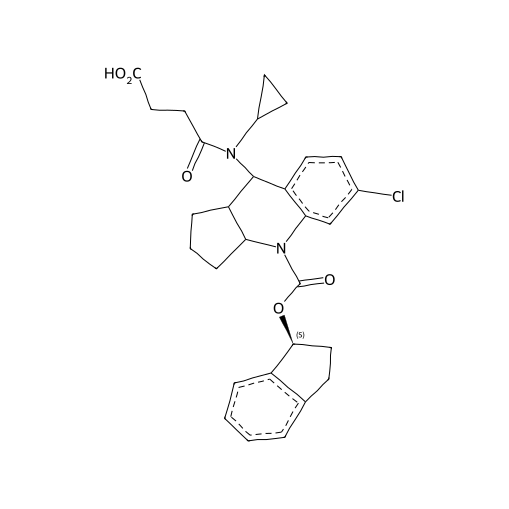 O=C(O)CCC(=O)N(C1CC1)C1c2ccc(Cl)cc2N(C(=O)O[C@H]2CCc3ccccc32)C2CCCC21